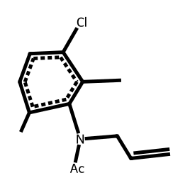 C=CCN(C(C)=O)c1c(C)ccc(Cl)c1C